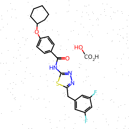 O=C(Nc1nnc(Cc2cc(F)cc(F)c2)s1)c1ccc(OC2CCCCC2)cc1.O=C(O)O